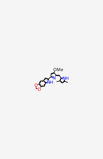 COC1=CC(c2cc3cc4c(cc3[nH]2)OCO4)=N/C1=C\c1[nH]c(C)cc1C